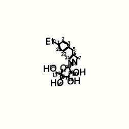 CCc1ccc(Cc2cnn(C3OC(CO)[C@@H](O)C(O)[C@H]3O)c2)cc1